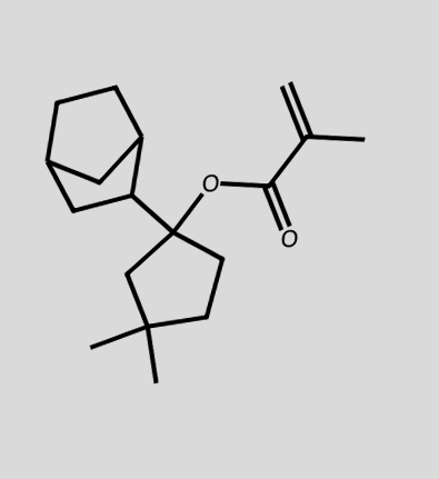 C=C(C)C(=O)OC1(C2CC3CCC2C3)CCC(C)(C)C1